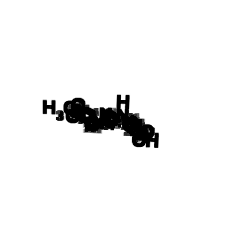 CS(=O)(=O)c1ccc2c(c1)CCN2c1ccc(NC2CCN(C(=O)O)CC2)cn1